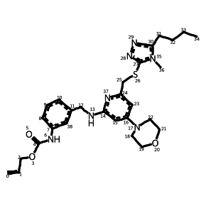 C=CCOC(=O)Nc1cccc(CNc2cc(N3CCOCC3)cc(CSc3nnc(CCCC)n3C)n2)c1